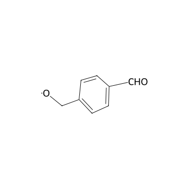 [O]Cc1ccc(C=O)cc1